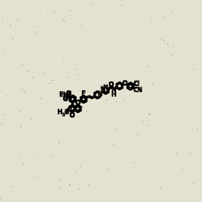 CCS(=O)(=O)c1ccc(Oc2ccc(CCC3CCN(c4ccc(C(=O)NC5CCC(Oc6ccc(C#N)c(Cl)c6)CC5)nn4)CC3)c(F)c2)c(-c2cn(C)c(=O)c3ccccc23)c1